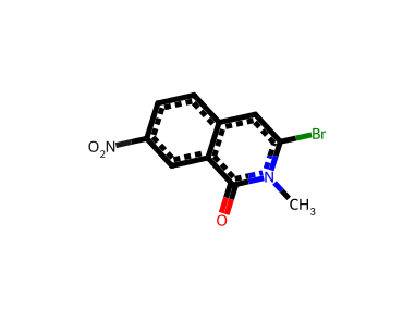 Cn1c(Br)cc2ccc([N+](=O)[O-])cc2c1=O